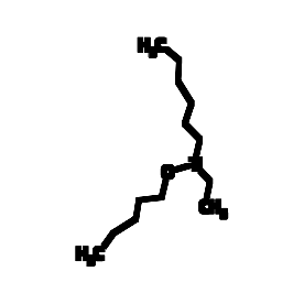 CCCCC[CH2][Ti]([CH2]C)[O]CCCCC